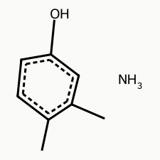 Cc1ccc(O)cc1C.N